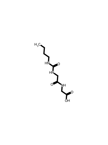 CCCCNC(=O)NCC(=O)NCC(=O)O